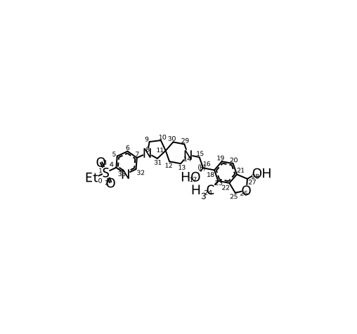 CCS(=O)(=O)c1ccc(N2CCC3(CCN(C[C@H](O)c4ccc5c(c4C)COC5O)CC3)C2)cn1